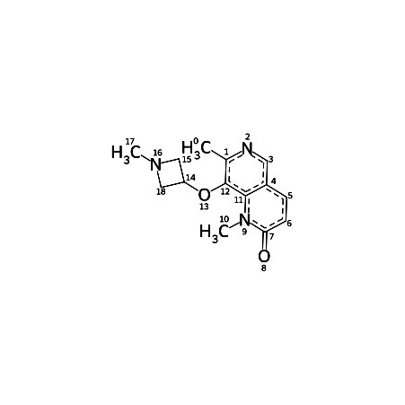 Cc1ncc2ccc(=O)n(C)c2c1OC1CN(C)C1